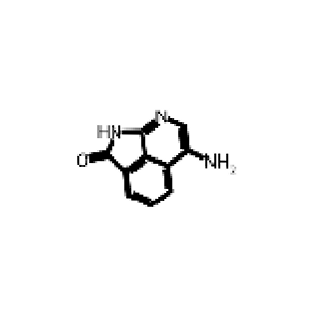 Nc1cnc2c3c(cccc13)C(=O)N2